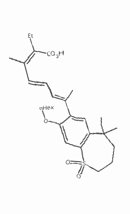 CCCCCCOc1cc2c(cc1C(C)=CC=CC(C)=C(CC)C(=O)O)C(C)(C)CCCS2(=O)=O